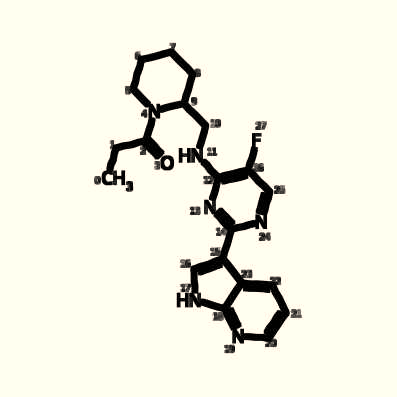 CCC(=O)N1CCCCC1CNc1nc(-c2c[nH]c3ncccc23)ncc1F